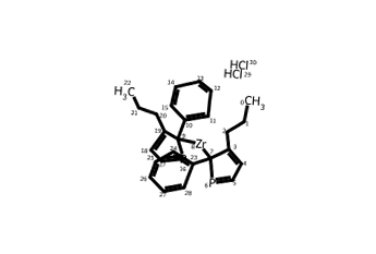 CCCC1=CC=P[C]1([Zr][C]1(c2ccccc2)P=CC=C1CCC)c1ccccc1.Cl.Cl